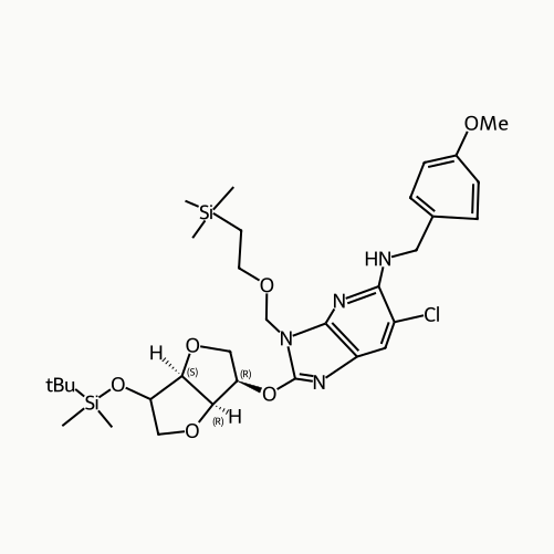 COc1ccc(CNc2nc3c(cc2Cl)nc(O[C@@H]2CO[C@@H]4C(O[Si](C)(C)C(C)(C)C)CO[C@@H]42)n3COCC[Si](C)(C)C)cc1